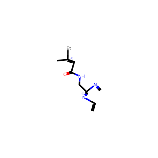 C=C/N=C(/CNC(=O)/C=C(\C)CC)N=C